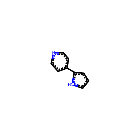 [c]1ccc(-c2ccncc2)[nH]1